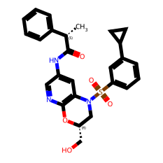 C[C@H](C(=O)Nc1cnc2c(c1)N(S(=O)(=O)c1cccc(C3CC3)c1)C[C@H](CO)O2)c1ccccc1